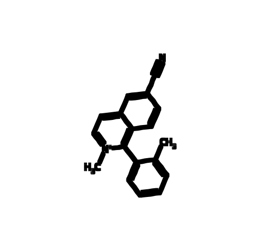 Cc1ccccc1-c1c2ccc(C#N)cc2cc[n+]1C